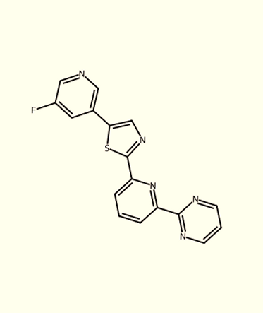 Fc1cncc(-c2cnc(-c3cccc(-c4ncccn4)n3)s2)c1